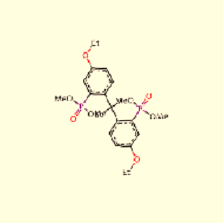 CCOc1ccc(C(C)(CC)c2ccc(OCC)cc2P(=O)(OC)OC)c(P(=O)(OC)OC)c1